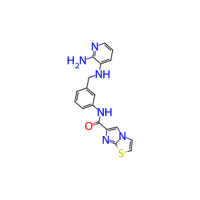 Nc1ncccc1NCc1cccc(NC(=O)c2cn3ccsc3n2)c1